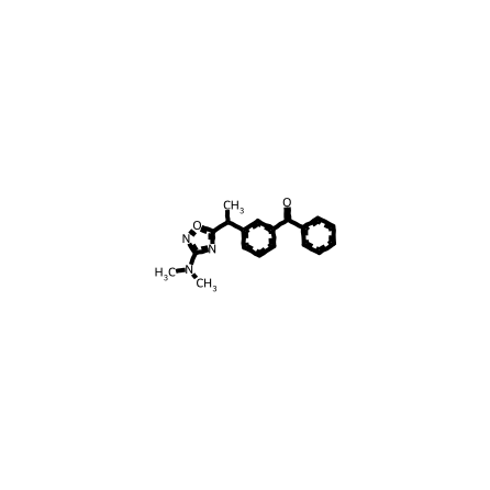 CC(c1cccc(C(=O)c2ccccc2)c1)c1nc(N(C)C)no1